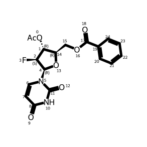 CC(=O)O[C@H]1[C@H](F)[C@H](n2ccc(=O)[nH]c2=O)O[C@@H]1COC(=O)c1ccccc1